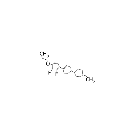 C=CC1CCC(C2CC=C(c3ccc(OCCC)c(F)c3F)CC2)CC1